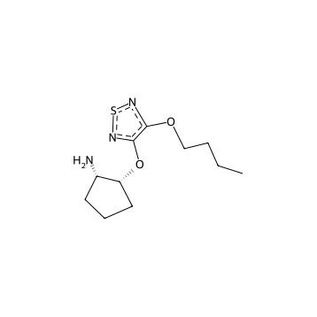 CCCCOc1nsnc1O[C@@H]1CCC[C@@H]1N